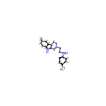 Clc1ccc(NCCN2CCc3c([nH]c4ccc(Cl)cc34)C2)cc1